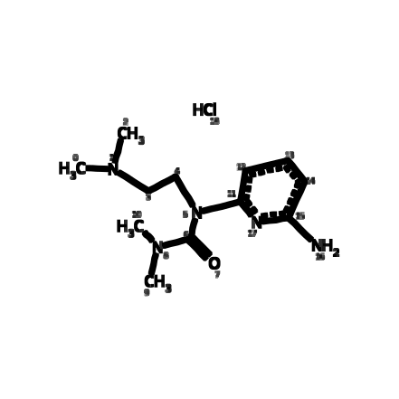 CN(C)CCN(C(=O)N(C)C)c1cccc(N)n1.Cl